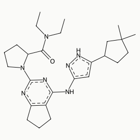 CCN(CC)C(=O)C1CCCN1c1nc2c(c(Nc3cc(C4CCC(C)(C)C4)[nH]n3)n1)CCC2